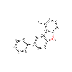 Cc1cccc2oc3ccc(-c4ccccc4)cc3c12